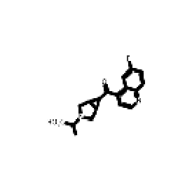 CC(C(=O)O)N1CC2C(C1)C2C(=O)c1ccnc2ccc(F)cc12